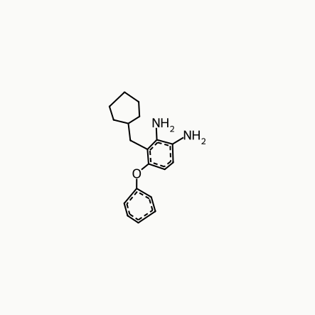 Nc1ccc(Oc2ccccc2)c(CC2CCCCC2)c1N